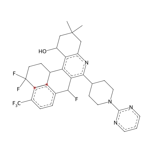 CC1(C)Cc2nc(C3CCN(c4ncccn4)CC3)c(C(F)c3ccc(C(F)(F)F)cc3)c(C3CCC(F)(F)CC3)c2C(O)C1